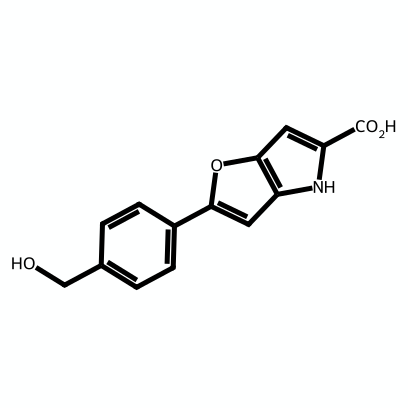 O=C(O)c1cc2oc(-c3ccc(CO)cc3)cc2[nH]1